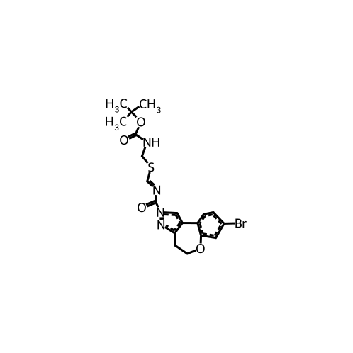 CC(C)(C)OC(=O)NCS/C=N/C(=O)n1cc2c(n1)CCOc1cc(Br)ccc1-2